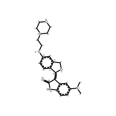 CN(C)c1ccc2c(c1)/C(=C1\OCc3cc(OCCN4CCOCC4)ccc31)C(=O)N2